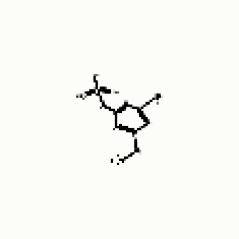 CC(C)c1cc(CN)cc(CS(C)(=O)=O)c1